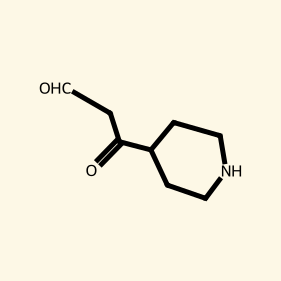 O=CCC(=O)C1CCNCC1